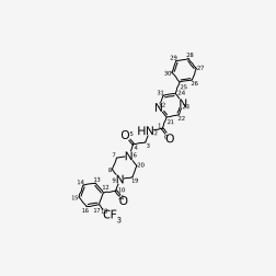 O=C(NCC(=O)N1CCN(C(=O)c2ccccc2C(F)(F)F)CC1)c1cnc(-c2ccccc2)cn1